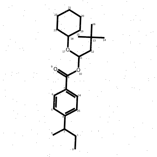 CCC(C)c1ccc(C(=O)OC(CC(C)(C)C)OC2CCCCC2)cc1